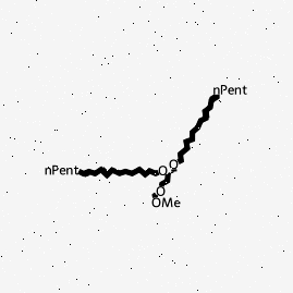 CCCCCC=CCC=CCCCCCCCCOC[C@H](CCOCOC)OCCCCCCCCC=CCC=CCCCCC